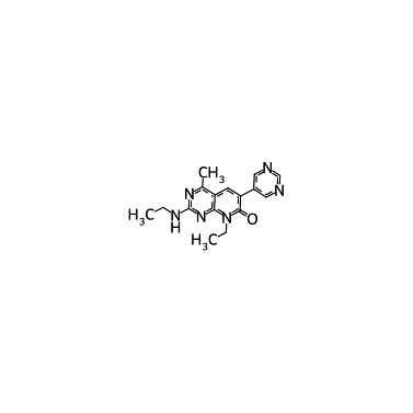 CCNc1nc(C)c2cc(-c3cncnc3)c(=O)n(CC)c2n1